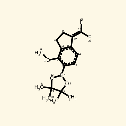 COc1c(B2OC(C)(C)C(C)(C)O2)ccc2c1CCC2=C(F)F